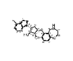 Cc1ccnc2c1ccn2[C@@H]1C[C@H](Oc2cccc3c2CNCCO3)[C@@H](O)[C@H]1O